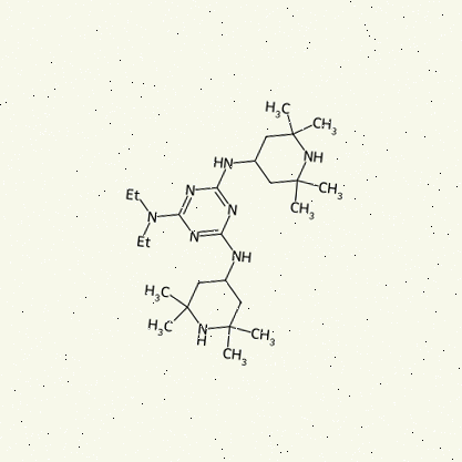 CCN(CC)c1nc(NC2CC(C)(C)NC(C)(C)C2)nc(NC2CC(C)(C)NC(C)(C)C2)n1